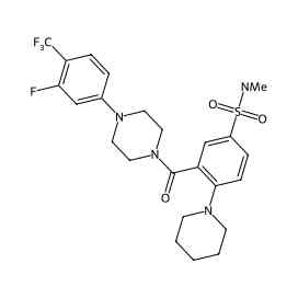 CNS(=O)(=O)c1ccc(N2CCCCC2)c(C(=O)N2CCN(c3ccc(C(F)(F)F)c(F)c3)CC2)c1